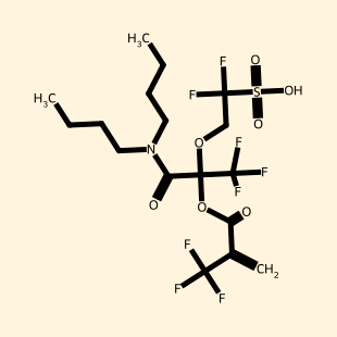 C=C(C(=O)OC(OCC(F)(F)S(=O)(=O)O)(C(=O)N(CCCC)CCCC)C(F)(F)F)C(F)(F)F